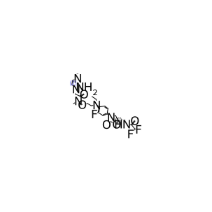 C=N/C=C\N(N)CC(=O)N(C)OCCN(CC)c1ccc(N2C[C@H](CNC(=O)C(F)F)OC2=O)cc1F